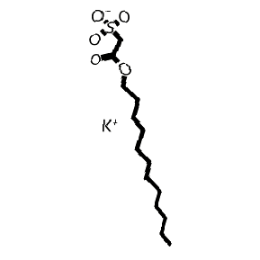 CCCCCCCCCCCCOC(=O)CS(=O)(=O)[O-].[K+]